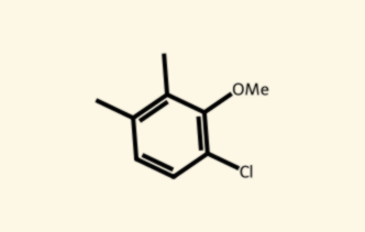 COc1c(Cl)ccc(C)c1C